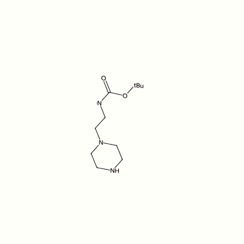 CC(C)(C)OC(=O)[N]CCN1CCNCC1